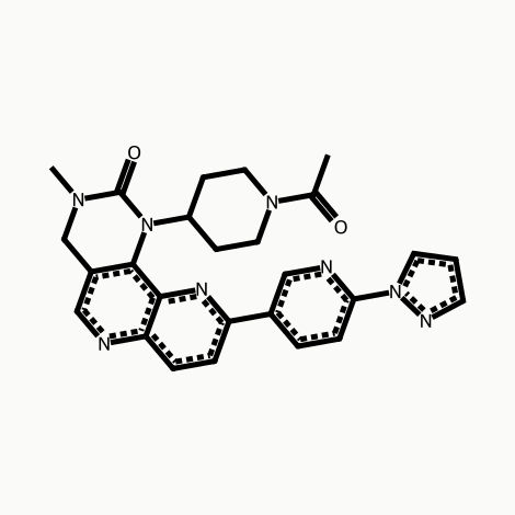 CC(=O)N1CCC(N2C(=O)N(C)Cc3cnc4ccc(-c5ccc(-n6cccn6)nc5)nc4c32)CC1